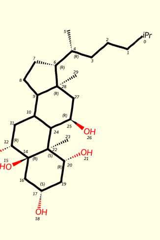 CC(C)CCC[C@@H](C)[C@H]1CCC2C3C[C@@H](O)[C@@]4(O)C[C@@H](O)C[C@@H](O)[C@]4(C)C3[C@H](O)C[C@@]21C